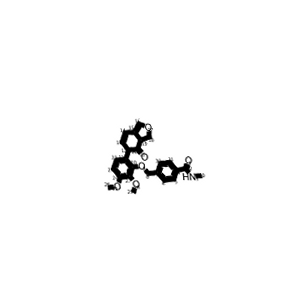 CNC(=O)c1ccc(COc2c(C3C=CC4=COCC4C3=O)ccc(OC)c2OC)cc1